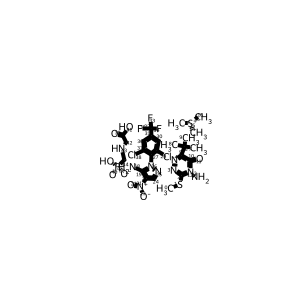 CSc1nnc(C(C)(C)C)c(=O)n1N.C[S+](C)C.Nc1c([N+](=O)[O-])cnn1-c1c(Cl)cc(C(F)(F)F)cc1Cl.O=C(O)CNCP(=O)([O-])O